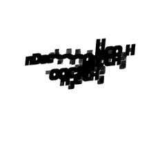 CCCCCCCCCCCCCCCCCCNC(C)(C)C(=O)O.C[N+](C)(C)CC(=O)[O-]